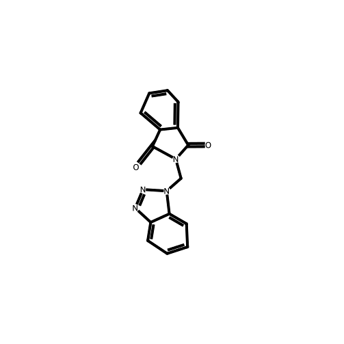 O=C1c2ccccc2C(=O)N1Cn1nnc2ccccc21